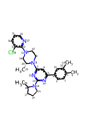 Cc1ccc(-c2cc(N3CCN(c4ncccc4Cl)C[C@H]3C)nc(N3CCCC3C)n2)cc1C